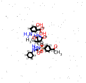 CC(=O)c1ccc(S(=O)(=O)NC(=O)NC2CCCCC2)cc1.CCC1(C)CC(=O)NC1=O.Nc1ccc(O)c(C(=O)O)c1